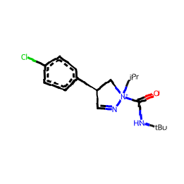 CC(C)[N+]1(C(=O)NC(C)(C)C)CC(c2ccc(Cl)cc2)C=N1